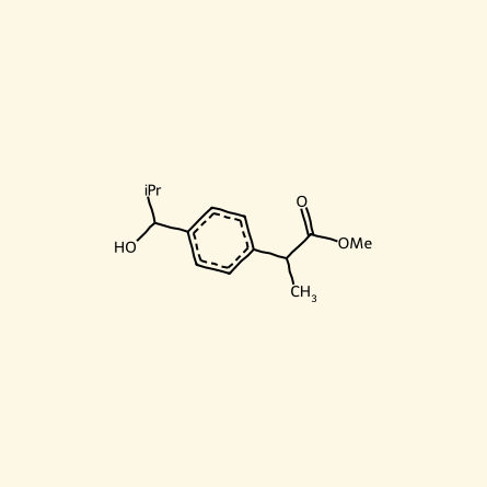 COC(=O)C(C)c1ccc(C(O)C(C)C)cc1